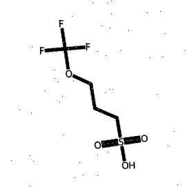 O=S(=O)(O)CCCOC(F)(F)F